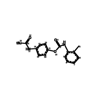 Cc1ccccc1NC(=O)Oc1ccc(NC(=O)C(C)(C)C)cn1